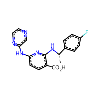 C[C@H](Nc1nc(Nc2cnccn2)ccc1C(=O)O)c1ccc(F)cc1